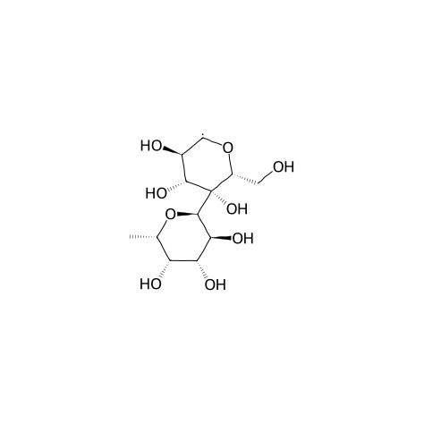 C[C@@H]1O[C@@H]([C@@]2(O)[C@H](O)[C@@H](O)[CH]O[C@@H]2CO)[C@@H](O)[C@H](O)[C@@H]1O